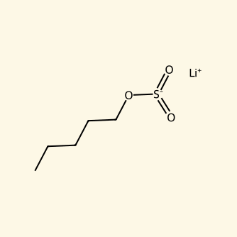 CCCCCO[S-](=O)=O.[Li+]